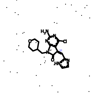 Nc1nc(Cl)c2c(n1)N(CC1CCOCC1)C(=O)/C2=C\c1ncc[nH]1